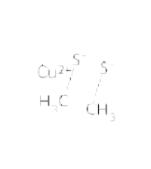 C[S-].C[S-].[Cu+2]